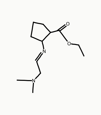 CCOC(=O)C1CCCC1N=CCN(C)C